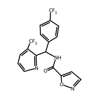 O=C(NC(c1ccc(C(F)(F)F)cc1)c1ncccc1C(F)(F)F)c1ccno1